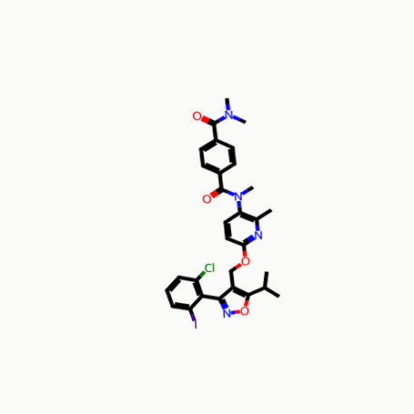 Cc1nc(OCc2c(-c3c(Cl)cccc3I)noc2C(C)C)ccc1N(C)C(=O)c1ccc(C(=O)N(C)C)cc1